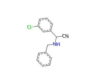 N#CC(NCc1ccccc1)c1cccc(Cl)c1